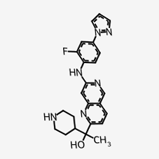 CC(O)(c1ccc2cnc(Nc3ccc(-n4cccn4)cc3F)cc2n1)C1CCNCC1